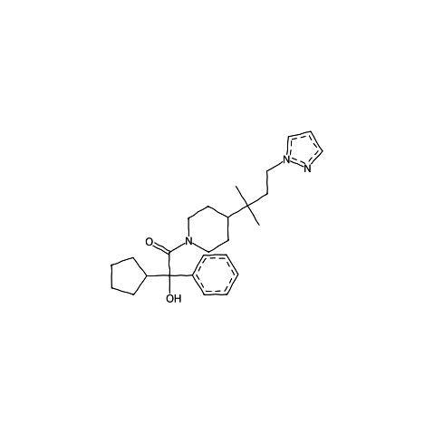 CC(C)(CCn1cccn1)C1CCN(C(=O)C(O)(c2ccccc2)C2CCCC2)CC1